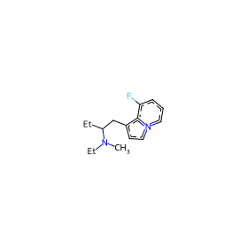 CCC(Cc1ccn2cccc(F)c12)N(C)CC